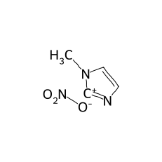 CN1[C+]=NC=C1.O=[N+]([O-])[O-]